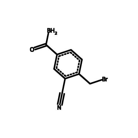 BC(=O)c1ccc(CBr)c(C#N)c1